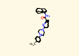 Cc1ccc(N2CCN(c3cccc(C(=O)NC4C5CC6CC(C5)CC4C6)n3)CC2)cc1